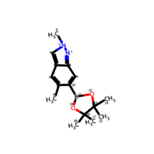 Cc1cc2cn(C)nc2cc1B1OC(C)(C)C(C)(C)O1